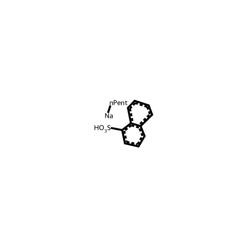 CCCC[CH2][Na].O=S(=O)(O)c1cccc2ccccc12